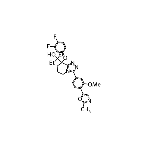 CCC(O)(CC)C1(Oc2ccc(F)c(F)c2)CCCn2c(-c3ccc(-c4cnc(C)o4)c(OC)c3)nnc21